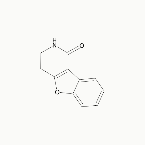 O=C1NCCc2oc3ccccc3c21